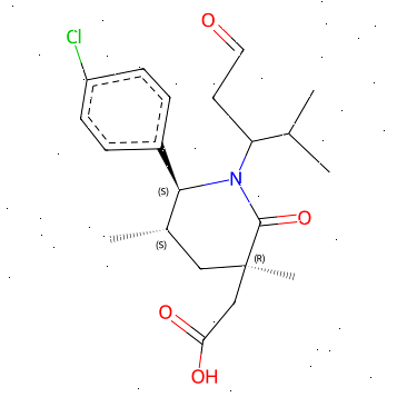 CC(C)C(CC=O)N1C(=O)[C@@](C)(CC(=O)O)C[C@H](C)[C@H]1c1ccc(Cl)cc1